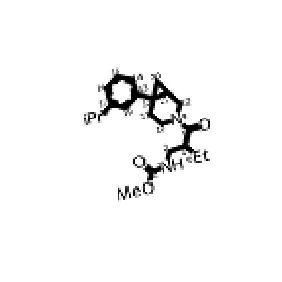 CCC(CNC(=O)OC)C(=O)N1CCC2(c3cccc(C(C)C)c3)CC2C1